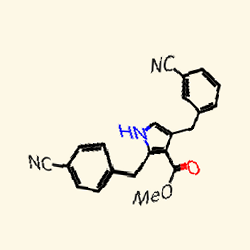 COC(=O)c1c(Cc2cccc(C#N)c2)c[nH]c1Cc1ccc(C#N)cc1